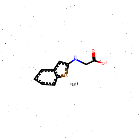 O=C(O)CNc1cc2ccccc2s1.[NaH]